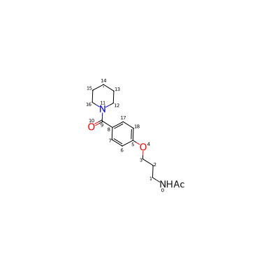 CC(=O)NCCCOc1ccc(C(=O)N2CC[CH]CC2)cc1